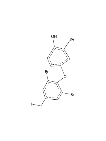 CC(C)c1cc(Oc2c(Br)cc(CI)cc2Br)ccc1O